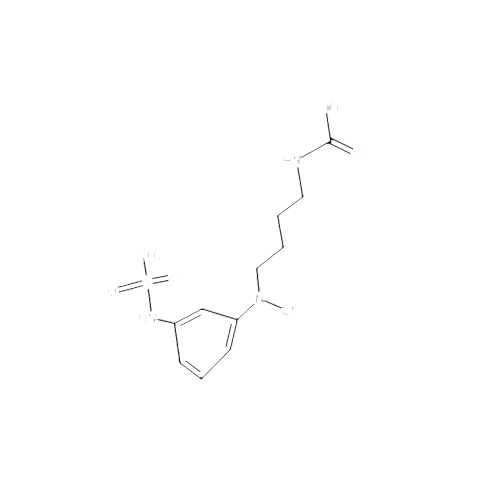 CCCC(=O)NCCCCN(CC)c1cccc(NS(C)(=O)=O)c1